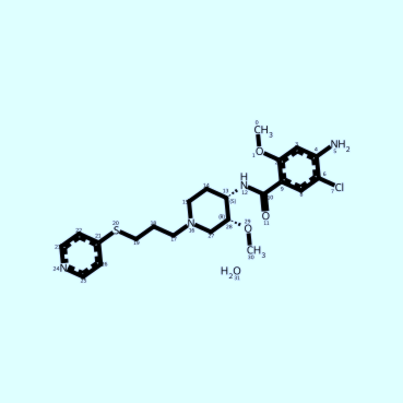 COc1cc(N)c(Cl)cc1C(=O)N[C@H]1CCN(CCCSc2ccncc2)C[C@H]1OC.O